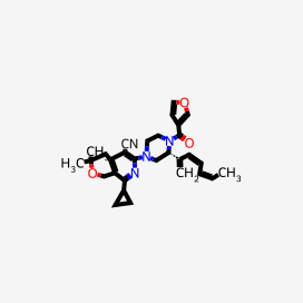 C=C(/C=C\C=C/C)[C@@H]1CN(c2nc(C3CC3)c3c(c2C#N)CC(C)(C)OC3)CCN1C(=O)c1ccoc1